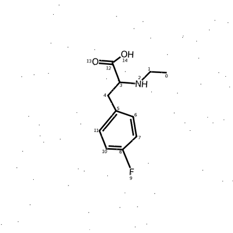 CCNC(Cc1ccc(F)cc1)C(=O)O